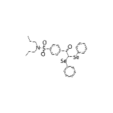 CCCN(CCC)S(=O)(=O)c1ccc(C(=O)C([Se]c2ccccc2)[Se]c2ccccc2)cc1